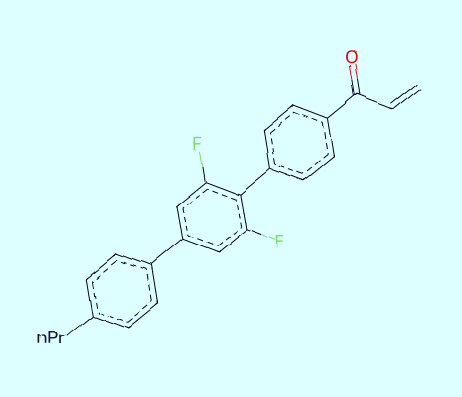 C=CC(=O)c1ccc(-c2c(F)cc(-c3ccc(CCC)cc3)cc2F)cc1